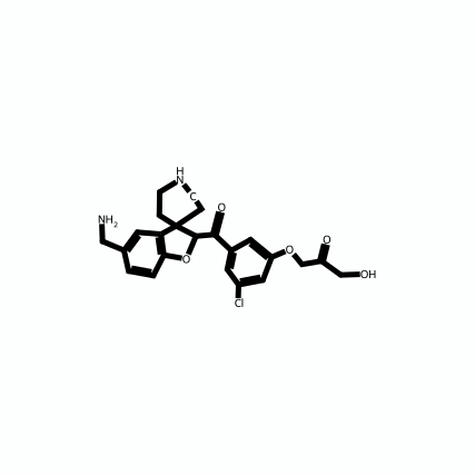 NCc1ccc2c(c1)C1(CCNCC1)C(C(=O)c1cc(Cl)cc(OCC(=O)CO)c1)O2